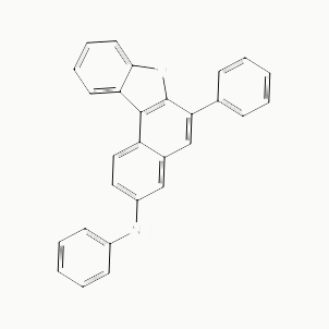 c1ccc(Nc2ccc3c(c2)cc(-c2ccccc2)c2oc4ccccc4c23)cc1